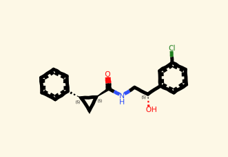 O=C(NC[C@@H](O)c1cccc(Cl)c1)[C@H]1C[C@@H]1c1ccccc1